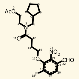 CC(=O)OCCN(CC1CCCC1)C(=O)CCCOc1c(F)ccc(C=O)c1[N+](=O)[O-]